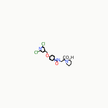 O=C(NC[C@@H](C(=O)O)N1CCCCC1)c1ccc(OCc2cc(Cl)nc(Cl)c2)cc1